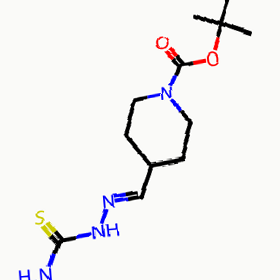 CC(C)(C)OC(=O)N1CCC(/C=N/NC(N)=S)CC1